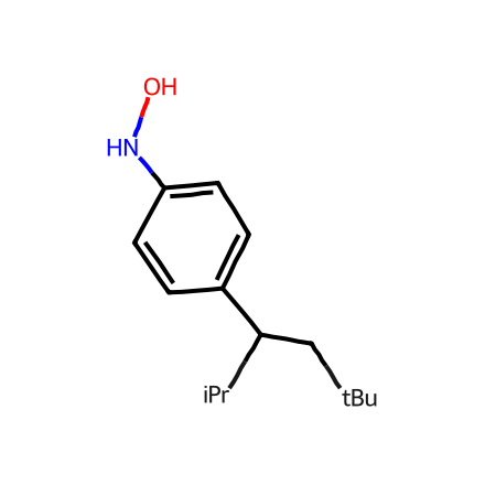 CC(C)C(CC(C)(C)C)c1ccc(NO)cc1